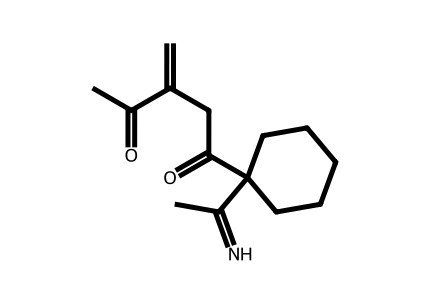 C=C(CC(=O)C1(C(C)=N)CCCCC1)C(C)=O